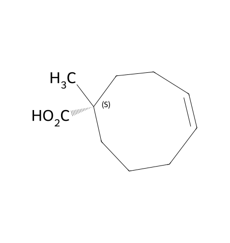 C[C@@]1(C(=O)O)CCC=CCCC1